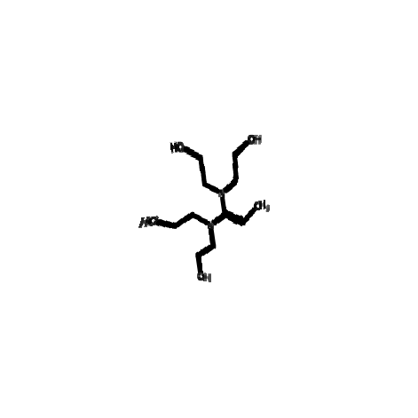 CC=C(N(CCO)CCO)N(CCO)CCO